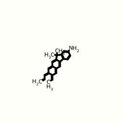 C=C/C=c1/cc2cc3c(cc2c/c1=C/C)-c1ccc(N)cc1C3(C)C